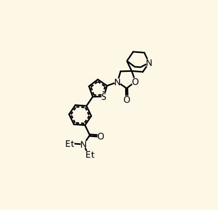 CCN(CC)C(=O)c1cccc(-c2ccc(N3CC4(CN5CCC4CC5)OC3=O)s2)c1